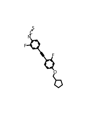 Fc1cc(OCC2CCCC2)ccc1C#Cc1ccc(N=C=S)c(F)c1